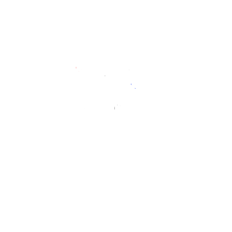 c1ccc2c(c1)Oc1ccc(-c3ccc4c(ccc5ccccc54)c3)cc1C21c2ccccc2-n2c3ccccc3c3cccc1c32